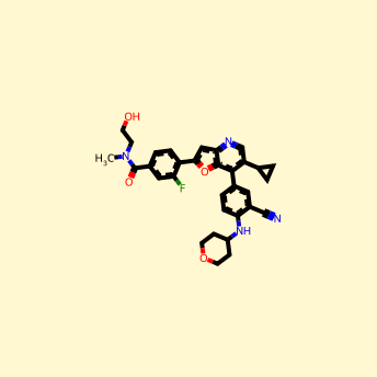 CN(CCO)C(=O)c1ccc(-c2cc3ncc(C4CC4)c(-c4ccc(NC5CCOCC5)c(C#N)c4)c3o2)c(F)c1